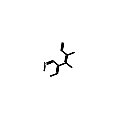 C=C/C(C)=C(/C)C(=CC)/C=N\C